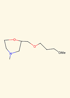 COCCCOCC1CN(C)CCO1